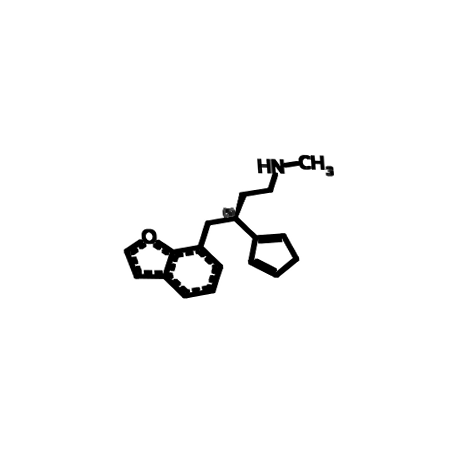 CNCC[C@H](Cc1cccc2ccoc12)C1=CCC=C1